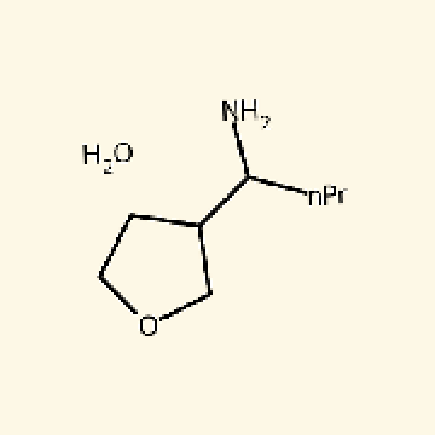 CCCC(N)C1CCOC1.O